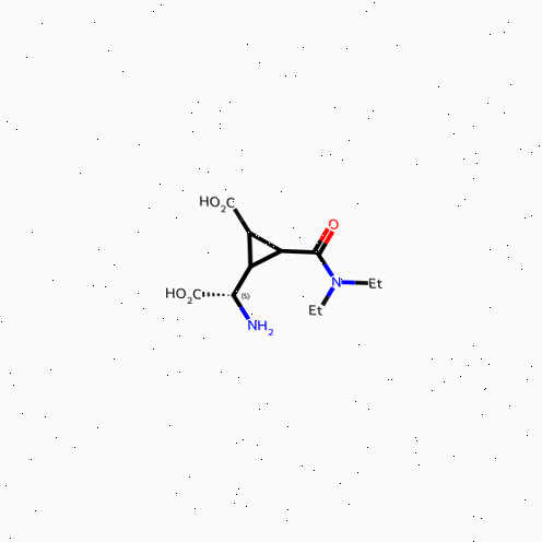 CCN(CC)C(=O)C1C(C(=O)O)C1[C@H](N)C(=O)O